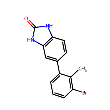 Cc1c(Br)cccc1-c1ccc2[nH]c(=O)[nH]c2c1